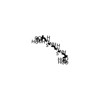 CC(C)(CCNC(=S)NCCCNC(=S)NCCC(C)(C)OP(=O)(O)O)OP(=O)(O)O